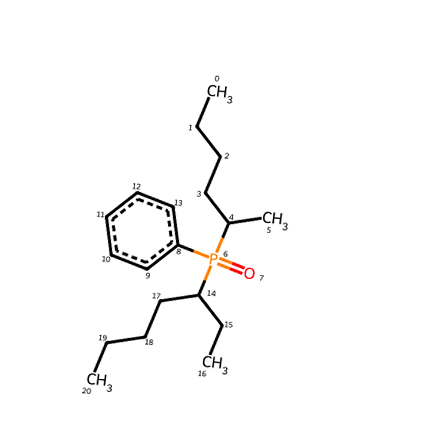 CCCCC(C)P(=O)(c1ccccc1)C(CC)CCCC